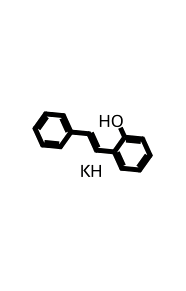 Oc1ccccc1C=Cc1ccccc1.[KH]